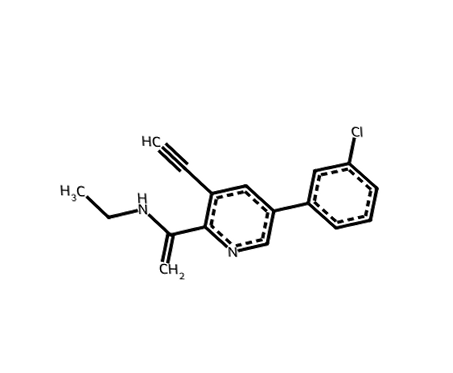 C#Cc1cc(-c2cccc(Cl)c2)cnc1C(=C)NCC